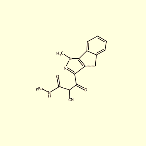 CCCCNC(=O)C(C#N)C(=O)c1nn(C)c2c1Cc1ccccc1-2